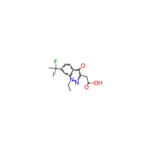 CCn1nc(CC(=O)O)c(=O)c2ccc(C(C)(F)F)cc21